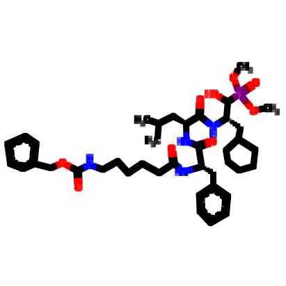 COP(=O)(OC)C(O)[C@H](CC1CCCCC1)NC(=O)[C@H](CC(C)C)NC(=O)[C@H](Cc1ccccc1)NC(=O)CCCCCNC(=O)OCc1ccccc1